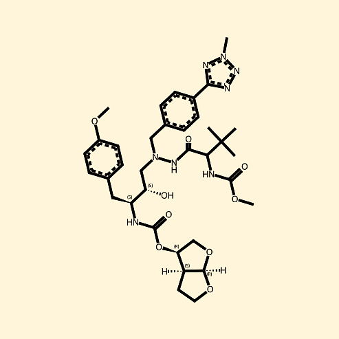 COC(=O)NC(C(=O)NN(Cc1ccc(-c2nnn(C)n2)cc1)C[C@H](O)[C@H](Cc1ccc(OC)cc1)NC(=O)O[C@H]1CO[C@H]2OCC[C@H]21)C(C)(C)C